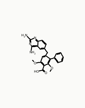 COc1cc(Cc2ccc3nc(N)nc(N)c3c2)c(-c2ccccc2)c(OC)c1C(=O)O